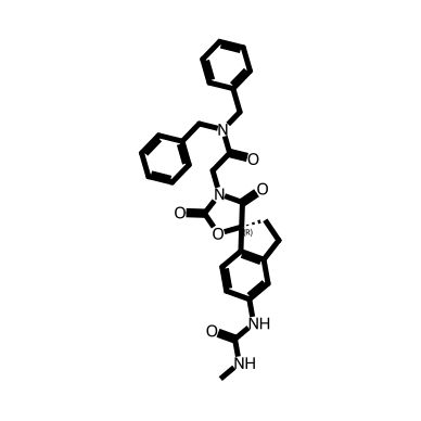 CNC(=O)Nc1ccc2c(c1)CC[C@@]21OC(=O)N(CC(=O)N(Cc2ccccc2)Cc2ccccc2)C1=O